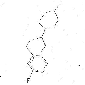 CC1CCC(C2CCc3cc(F)ccc3C2)CC1